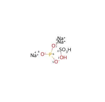 O=S(=O)(O)O.[Na+].[Na+].[Na+].[O-]P([O-])[O-]